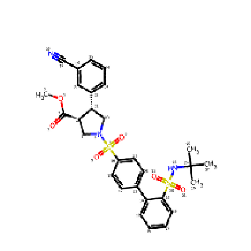 COC(=O)[C@@H]1CN(S(=O)(=O)c2ccc(-c3ccccc3S(=O)(=O)NC(C)(C)C)cc2)C[C@H]1c1cccc(C#N)c1